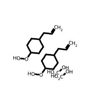 C=CCC1CCC(OO)CC1.C=CCC1CCC(OO)CC1.O=C(O)O.O=C(O)O